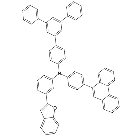 c1ccc(-c2cc(-c3ccccc3)cc(-c3ccc(N(c4ccc(-c5cc6ccccc6c6ccccc56)cc4)c4cccc(-c5cc6ccccc6o5)c4)cc3)c2)cc1